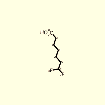 O=C(O)CCCCCC(F)F